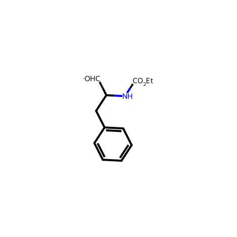 CCOC(=O)NC([C]=O)Cc1ccccc1